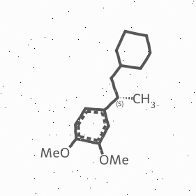 COc1ccc([C@@H](C)CC2CCCCC2)cc1OC